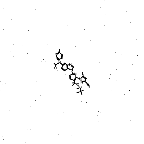 CC(=O)N(c1ccc2c(c1)ncn2-c1ccc([C@H](C)O[Si](C)(C)C(C)(C)C)c(-n2nc(C#N)cc2C)n1)c1ccc(C)nn1